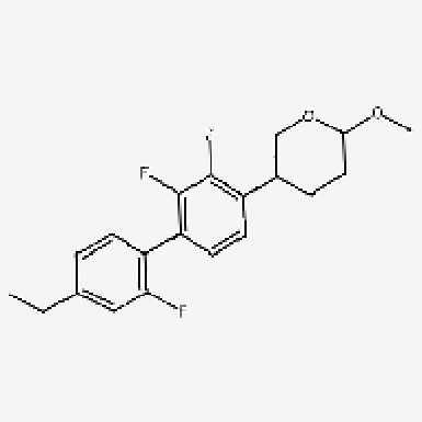 CCc1ccc(-c2ccc(C3CCC(OC)OC3)c(F)c2F)c(F)c1